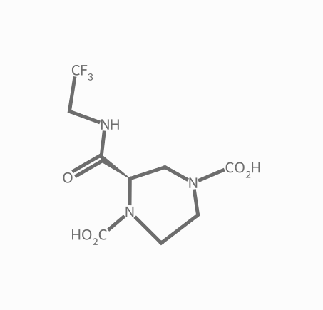 O=C(NCC(F)(F)F)[C@H]1CN(C(=O)O)CCN1C(=O)O